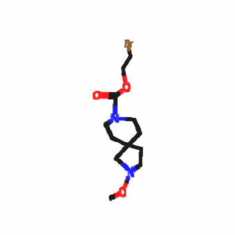 CON1CCC2(CCN(C(=O)OCCBr)CC2)C1